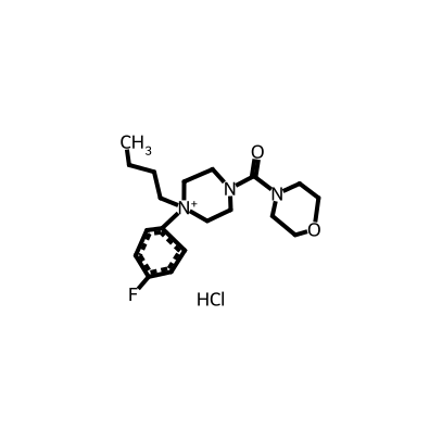 CCCC[N+]1(c2ccc(F)cc2)CCN(C(=O)N2CCOCC2)CC1.Cl